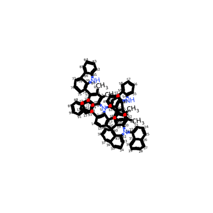 Cc1c(C)c(N(c2c(-c3ccccc3)ccc3c2-c2c(c(N(c4cccc5ccccc45)c4cccc5ccccc45)c(C)c(C)c2-c2cccc4c2[nH]c2ccccc24)C3)c2cccc3ccccc23)c2c(c1-c1cccc3c1[nH]c1ccccc13)-c1ccccc1C2